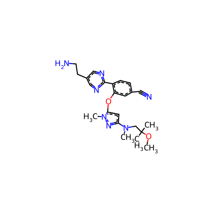 COC(C)(C)CN(C)c1cc(Oc2cc(C#N)ccc2-c2ncc(CCN)cn2)n(C)n1